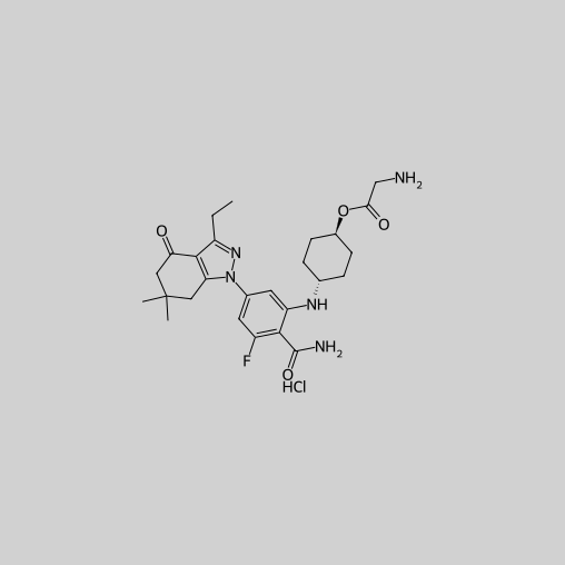 CCc1nn(-c2cc(F)c(C(N)=O)c(N[C@H]3CC[C@H](OC(=O)CN)CC3)c2)c2c1C(=O)CC(C)(C)C2.Cl